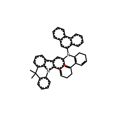 CC1(C)c2ccccc2-n2c3ccc(N(C4=C(C5=CC=CCC5)C=CCC4)c4cc5ccccc5c5ccccc45)cc3c3cccc1c32